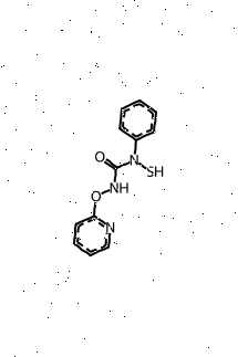 O=C(NOc1ccccn1)N(S)c1ccccc1